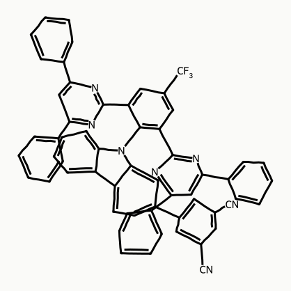 N#Cc1cc(C#N)cc(-c2ccc3c4ccccc4n(-c4c(-c5nc(-c6ccccc6)cc(-c6ccccc6)n5)cc(C(F)(F)F)cc4-c4nc(-c5ccccc5)cc(-c5ccccc5)n4)c3c2)c1